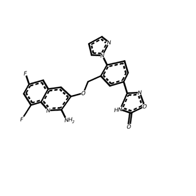 Nc1nc2c(F)cc(F)cc2cc1OCc1cc(-c2noc(=O)[nH]2)ccc1-n1cccn1